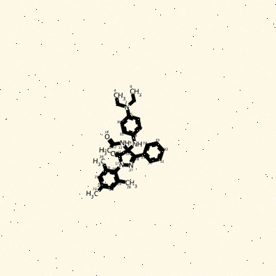 CCN(CC)c1ccc(NC2(NC(C)=O)C(=O)N(c3c(C)cc(C)cc3C)N=C2c2ccccc2)cc1